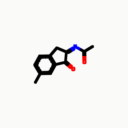 CC(=O)N=C1Cc2ccc(C)cc2C1=O